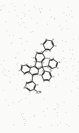 N#Cc1cncc(-c2cc3c(c4ccccc24)-c2ccc(-c4ccccc4)cc2C3(c2ccccc2)c2ccccc2)c1